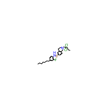 CCCCCCCc1ccc(NSc2ccc3c(c2)CCN(CC(Cl)(Cl)CCC)C3)c(F)c1